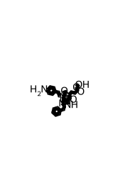 Nc1ccc(CCn2c(=O)n(CCC(=O)OO)c(=O)c3[nH]c(Cc4ccccc4)nc32)cc1